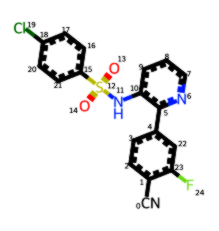 N#Cc1ccc(-c2ncccc2NS(=O)(=O)c2ccc(Cl)cc2)cc1F